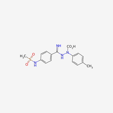 Cc1ccc(N(NC(=N)c2ccc(NS(C)(=O)=O)cc2)C(=O)O)cc1